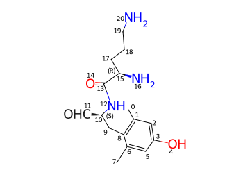 Cc1cc(O)cc(C)c1C[C@@H](C=O)NC(=O)[C@H](N)CCCN